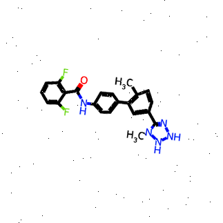 Cc1ccc(C2=NNNN2C)cc1-c1ccc(NC(=O)c2c(F)cccc2F)cc1